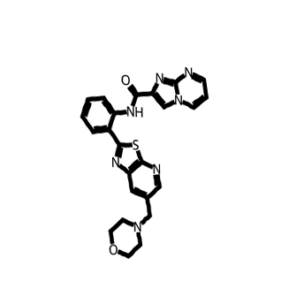 O=C(Nc1ccccc1-c1nc2cc(CN3CCOCC3)cnc2s1)c1cn2cccnc2n1